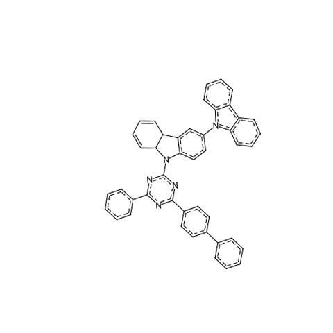 C1=CC2c3cc(-n4c5ccccc5c5ccccc54)ccc3N(c3nc(-c4ccccc4)nc(-c4ccc(-c5ccccc5)cc4)n3)C2C=C1